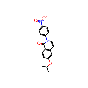 CC(C)Oc1ccc2c(=O)n(-c3ccc([N+](=O)[O-])cc3)ccc2c1